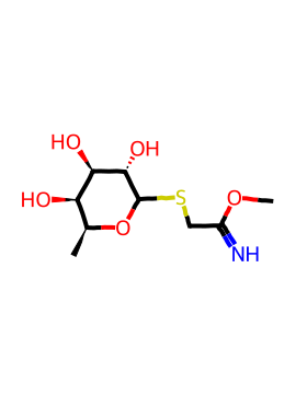 COC(=N)CSC1O[C@@H](C)[C@@H](O)[C@@H](O)[C@@H]1O